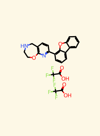 O=C(O)C(F)(F)F.O=C(O)C(F)(F)F.c1ccc2c(c1)oc1c(-c3ccc4c(n3)OCCNC4)cccc12